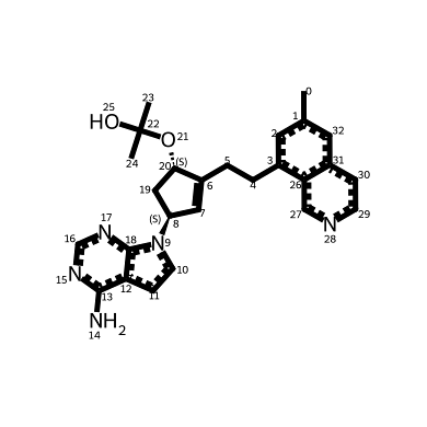 Cc1cc(CCC2=C[C@@H](n3ccc4c(N)ncnc43)C[C@@H]2OC(C)(C)O)c2cnccc2c1